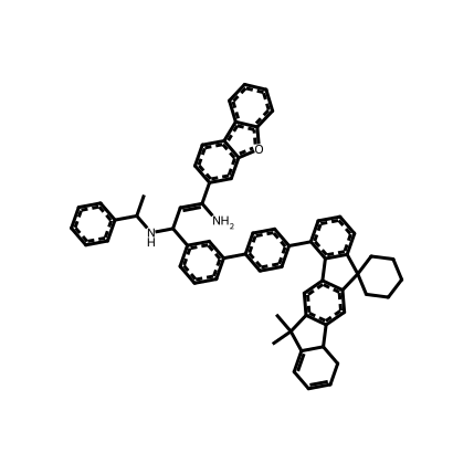 CC(NC(/C=C(\N)c1ccc2c(c1)oc1ccccc12)c1cccc(-c2ccc(-c3cccc4c3-c3cc5c(cc3C43CCCCC3)C3CC=CC=C3C5(C)C)cc2)c1)c1ccccc1